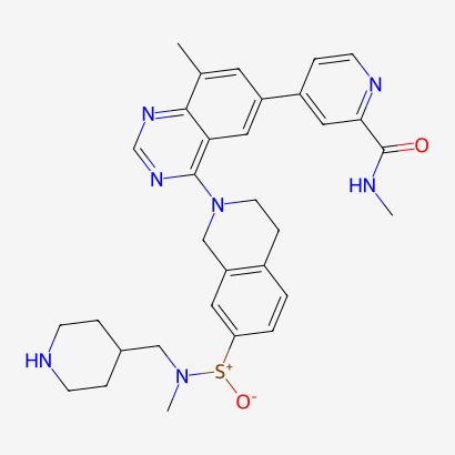 CNC(=O)c1cc(-c2cc(C)c3ncnc(N4CCc5ccc([S+]([O-])N(C)CC6CCNCC6)cc5C4)c3c2)ccn1